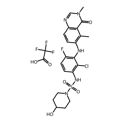 Cc1c(Nc2c(F)ccc(NS(=O)(=O)N3CCC(O)CC3)c2Cl)ccc2ncn(C)c(=O)c12.O=C(O)C(F)(F)F